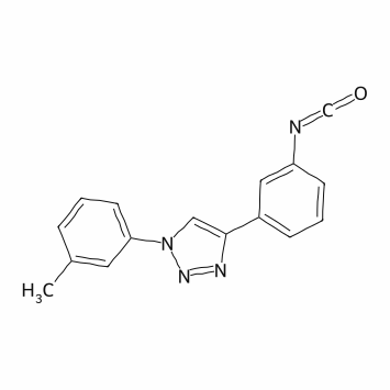 Cc1cccc(-n2cc(-c3cccc(N=C=O)c3)nn2)c1